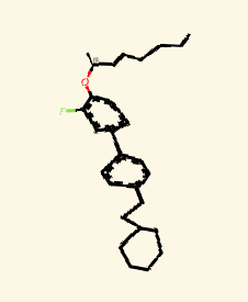 CCCCCC[C@H](C)Oc1ccc(-c2ccc(CCC3CC[CH]CC3)cc2)cc1F